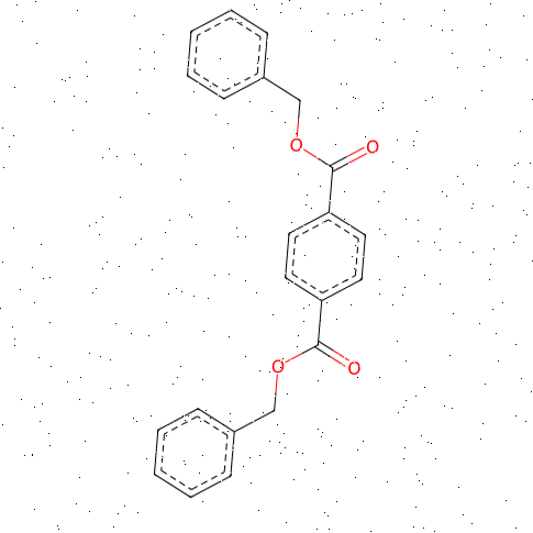 O=C(OCc1ccccc1)c1ccc(C(=O)OCc2ccccc2)cc1